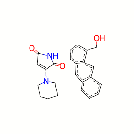 O=C1C=C(N2CCCCC2)C(=O)N1.OCc1cccc2cc3ccccc3cc12